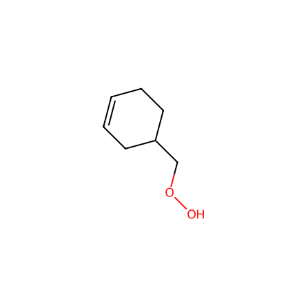 OOCC1CC=CCC1